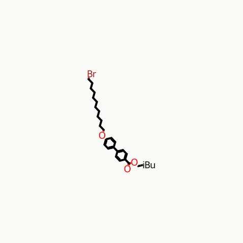 CCC(C)COC(=O)c1ccc(-c2ccc(OCCCCCCCCCCCCBr)cc2)cc1